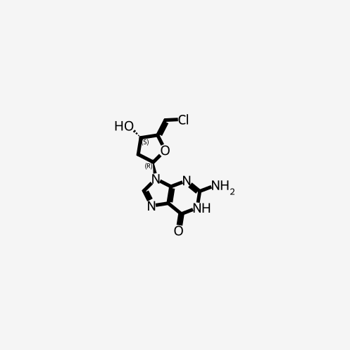 Nc1nc2c(ncn2[C@H]2C[C@H](O)C(=CCl)O2)c(=O)[nH]1